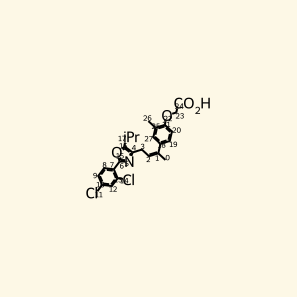 CC(=CCc1nc(-c2ccc(Cl)cc2Cl)oc1C(C)C)c1ccc(OCC(=O)O)c(C)c1